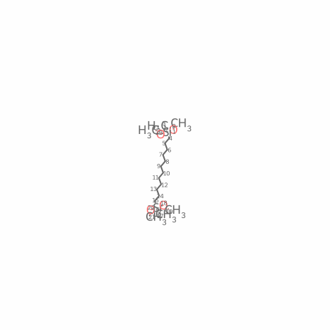 CO[Si](C)(CCCCCCCCCCCC[Si](C)(OC)OC)OC